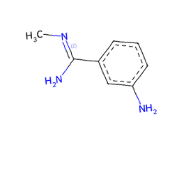 C/N=C(\N)c1cccc(N)c1